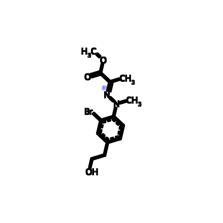 COC(=O)/C(C)=N/N(C)c1ccc(CCO)cc1Br